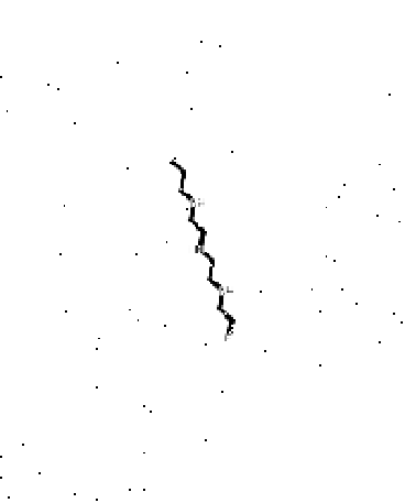 CCCNCCNCCNCCF